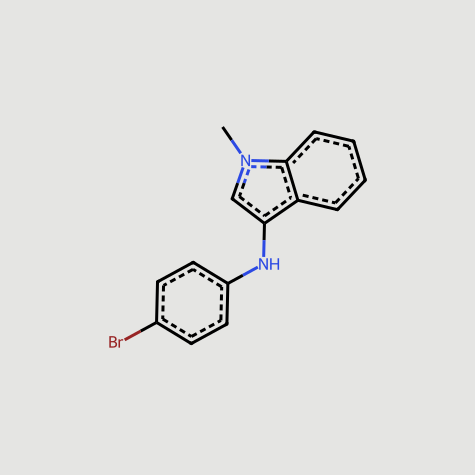 Cn1cc(Nc2ccc(Br)cc2)c2ccccc21